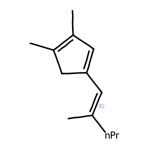 CCC/C(C)=C/C1=CC(C)=C(C)C1